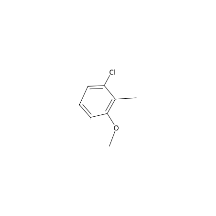 COc1[c]ccc(Cl)c1C